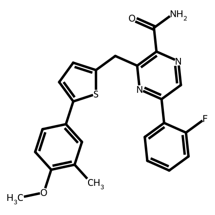 COc1ccc(-c2ccc(Cc3nc(-c4ccccc4F)cnc3C(N)=O)s2)cc1C